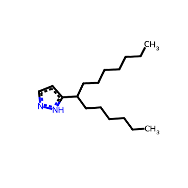 CCCCCCCC(CCCCCC)c1ccn[nH]1